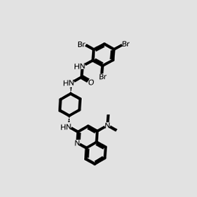 CN(C)c1cc(N[C@H]2CC[C@@H](NC(=O)Nc3c(Br)cc(Br)cc3Br)CC2)nc2ccccc12